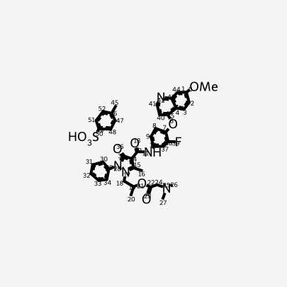 COc1ccc2c(Oc3ccc(NC(=O)c4c(C)n(CC(C)OC(=O)CN(C)C)n(-c5ccccc5)c4=O)cc3F)ccnc2c1.Cc1ccc(S(=O)(=O)O)cc1